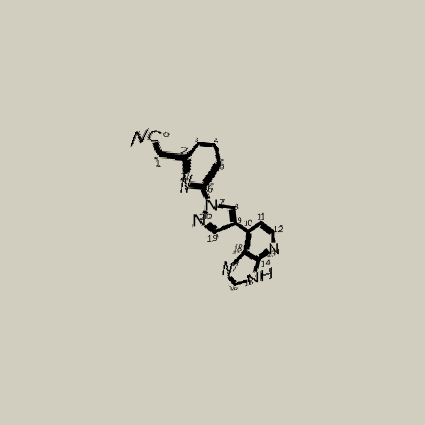 N#CCc1cccc(-n2cc(-c3ccnc4[nH]cnc34)cn2)n1